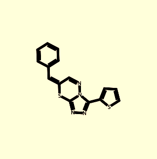 C1=Nn2c(nnc2-c2cccs2)SC1=Cc1ccccc1